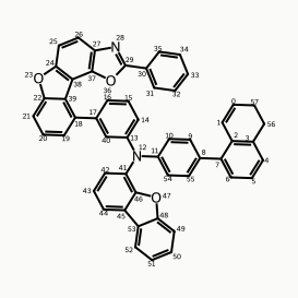 C1=Cc2c(cccc2-c2ccc(N(c3cccc(-c4cccc5oc6ccc7nc(-c8ccccc8)oc7c6c45)c3)c3cccc4c3oc3ccccc34)cc2)CC1